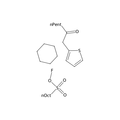 C1CCCCC1.CCCCCC(=O)Cc1cccs1.CCCCCCCCS(=O)(=O)OF